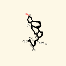 CC(C)[C@@H](C)/C=C/[C@@H](C)C1CCC2C3=CCC4C[C@@H](O)CC[C@]4(C)C3CC[C@@]21C